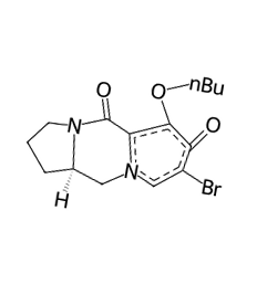 CCCCOc1c2n(cc(Br)c1=O)C[C@H]1CCCN1C2=O